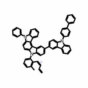 C=C/C=C\c1c(C)cccc1-n1c2ccc(-c3ccc4c(c3)c3ccccc3n4-c3ccc(-c4ccccc4)cc3)cc2c2c3c4ccccc4n(-c4ccccc4)c3ccc21